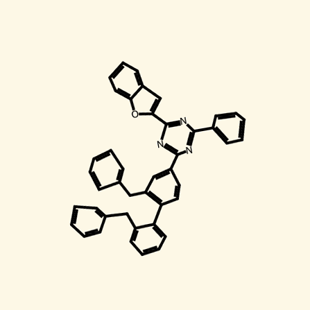 c1ccc(Cc2ccccc2-c2ccc(-c3nc(-c4ccccc4)nc(-c4cc5ccccc5o4)n3)cc2Cc2ccccc2)cc1